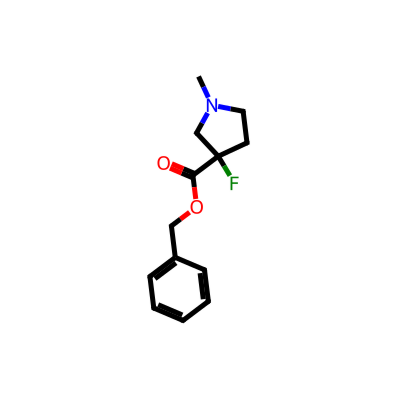 CN1CCC(F)(C(=O)OCc2ccccc2)C1